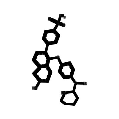 CCN(c1ccc(Oc2c(-c3ccc(S(C)(=O)=O)cc3)ccc3cc(O)ccc23)cc1)C1CCCCN1